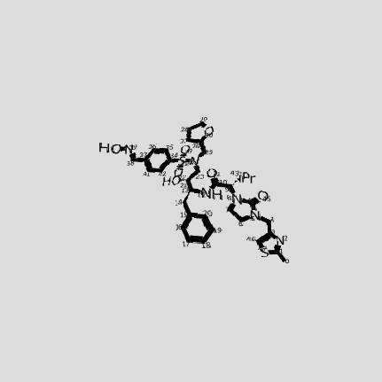 Cc1nc(CN2CCN([C@H](C(=O)N[C@@H](Cc3ccccc3)[C@H](O)CN(CC3CCCO3)S(=O)(=O)c3ccc(C=NO)cc3)C(C)C)C2=O)cs1